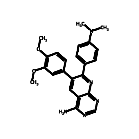 COc1ccc(-c2cc3c(N)ncnc3nc2-c2ccc(N(C)C)cc2)cc1OC